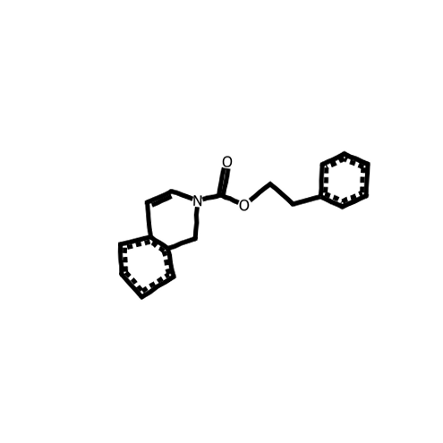 O=C(OCCc1ccccc1)N1C=Cc2ccccc2C1